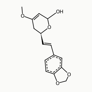 COC1=CC(O)O[C@@H](/C=C/c2ccc3c(c2)OCO3)C1